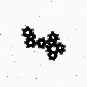 CC1(C)c2ccccc2-c2ccccc2-c2c1n(-c1ccc(-c3cccc4c3oc3ccccc34)cc1)c1ccncc21